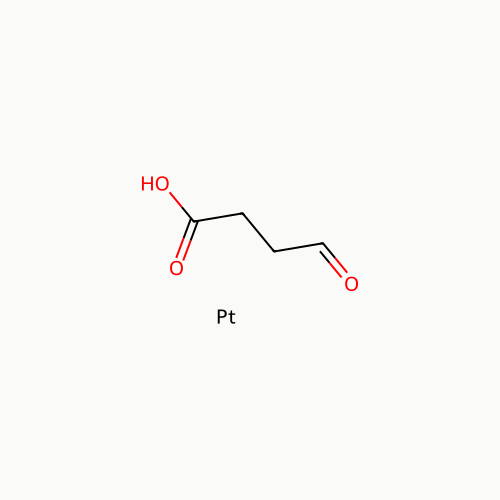 O=CCCC(=O)O.[Pt]